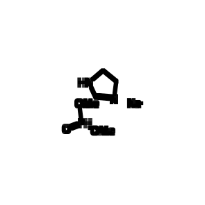 C1=NCCN1.CO[PH](=O)OC.[Na]